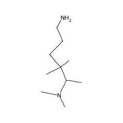 CC(N(C)C)C(C)(C)CCCN